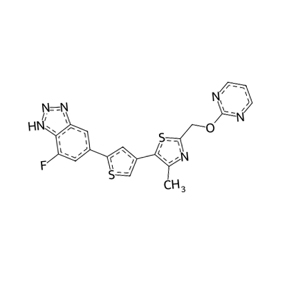 Cc1nc(COc2ncccn2)sc1-c1csc(-c2cc(F)c3[nH]nnc3c2)c1